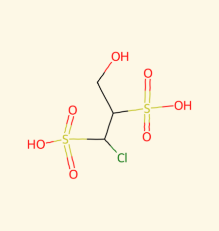 O=S(=O)(O)C(Cl)C(CO)S(=O)(=O)O